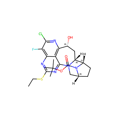 CCSc1nc2c3c(nc(Cl)c(F)c3n1)[C@H](O)C[C@@H]1[C@@H]3CC[C@H](CN21)N3C(=O)OC(C)(C)C